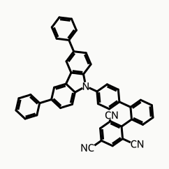 N#Cc1cc(C#N)c(-c2ccccc2-c2ccc(-n3c4ccc(-c5ccccc5)cc4c4cc(-c5ccccc5)ccc43)cc2)c(C#N)c1